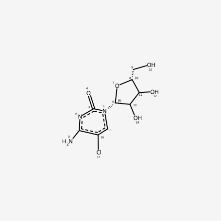 Nc1nc(=O)n([C@@H]2O[C@H](CO)C(O)C2O)cc1Cl